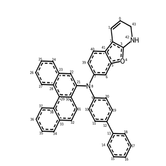 C1=Cc2c(oc3cc(N(c4ccc(-c5ccccc5)cc4)c4cc5ccccc5c5c4ccc4ccccc45)ccc23)NC1